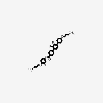 C=CCCOc1ccc(OC(=O)C2CCC(c3ccc(C4CCC(OCCCC)CC4)c(F)c3F)CC2)cc1F